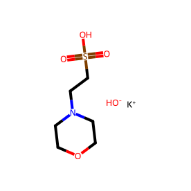 O=S(=O)(O)CCN1CCOCC1.[K+].[OH-]